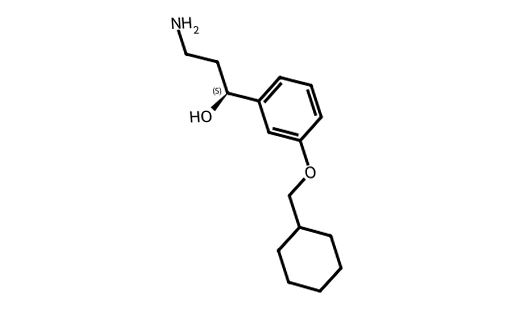 NCC[C@H](O)c1cccc(OCC2CCCCC2)c1